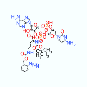 CC(C)(C)OC(=O)N[C@@H](CCCNC(=O)OCc1ccccc1N=[N+]=[N-])C(=O)O[C@H]1[C@@H](O)[C@H](n2cnc3c(N)ncnc32)O[C@@H]1COP(=O)(O)O[C@H]1CC(n2ccc(N)nc2=O)O[C@@H]1COP(=O)(O)O